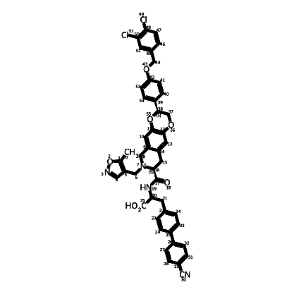 Cc1oncc1CN1Cc2cc3c(cc2C[C@H]1C(=O)NC(Cc1ccc(-c2ccc(C#N)cc2)cc1)C(=O)O)OC[C@H](c1ccc(OCc2ccc(Cl)c(Cl)c2)cc1)O3